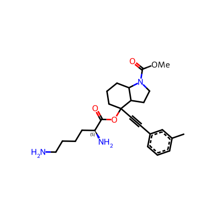 COC(=O)N1CCC2C1CCCC2(C#Cc1cccc(C)c1)OC(=O)[C@@H](N)CCCCN